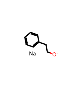 [Na+].[O-]CCc1ccccc1